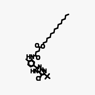 CCCCCCCCCCCCCCOC(=O)CCC(=O)Nc1cc(-c2nn3nc(C(C)(C)C)c(Cl)c3[nH]2)ccc1C